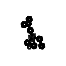 c1ccc(-c2cccc(-c3nc(-c4ccc(-c5cc6ccccc6c6ccccc56)cc4)nc(-c4cccc5oc6ccccc6c45)n3)c2)cc1